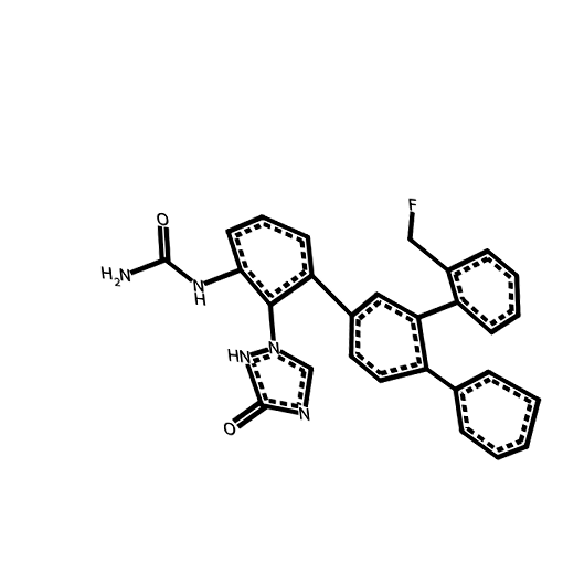 NC(=O)Nc1cccc(-c2ccc(-c3ccccc3)c(-c3ccccc3CF)c2)c1-n1cnc(=O)[nH]1